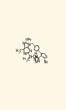 CCCc1nc2c(C)nc(N(C)C)nc2n1Cc1ccc(-c2csc(Br)c2-c2nnn[nH]2)cc1